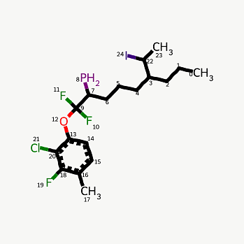 CCCC(CCCC(P)C(F)(F)Oc1ccc(C)c(F)c1Cl)C(C)I